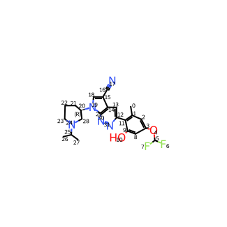 Cc1cc(OC(F)F)cc(O)c1-c1cc2c(C#N)cn([C@@H]3CCCN(C(C)C)C3)c2nn1